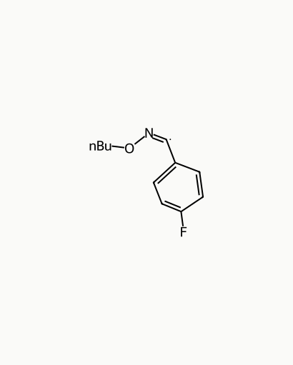 CCCCO/N=[C]\c1ccc(F)cc1